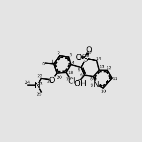 Cc1ccc(C2=C(O)c3ncccc3CS2(=O)=O)c(Cl)c1OCN(C)C